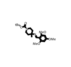 COc1cc(OC)c(C=NC2(C)CCN(C(=O)OC(C)(C)C)CC2)c(OC)c1